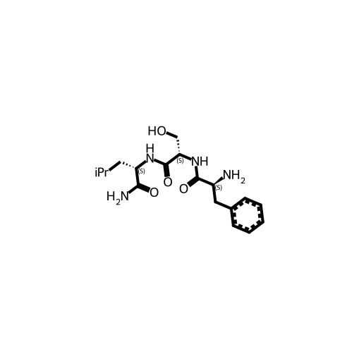 CC(C)C[C@H](NC(=O)[C@H](CO)NC(=O)[C@@H](N)Cc1ccccc1)C(N)=O